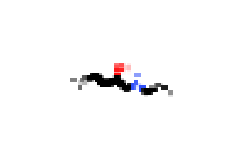 C/C=C/C(O)CNCC